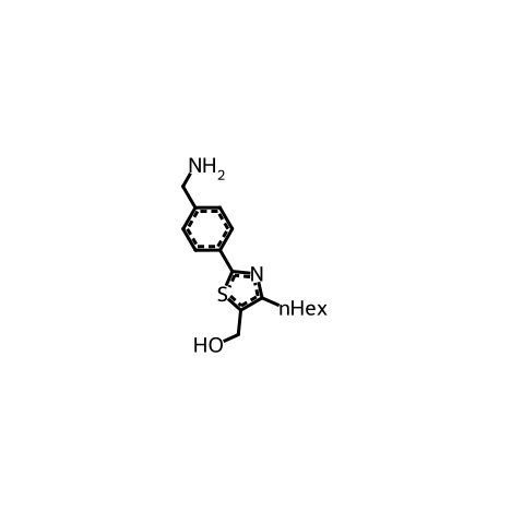 CCCCCCc1nc(-c2ccc(CN)cc2)sc1CO